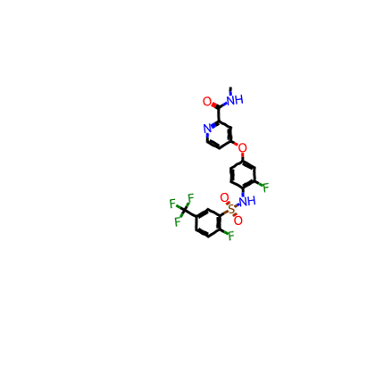 CNC(=O)c1cc(Oc2ccc(NS(=O)(=O)c3cc(C(F)(F)F)ccc3F)c(F)c2)ccn1